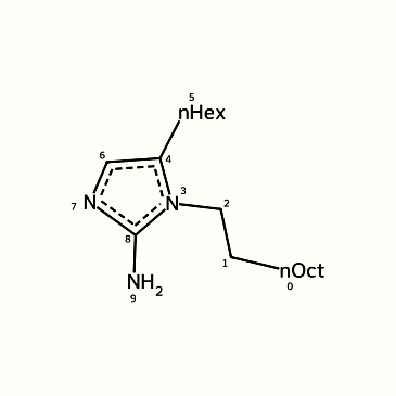 CCCCCCCCCCn1c(CCCCCC)cnc1N